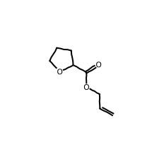 C=CCOC(=O)C1CCCO1